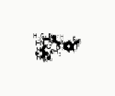 CC(NC(=O)c1ncnc2ncn(C)c12)c1ncc(C(=O)Nc2ccc(F)c(C(F)(F)F)c2)s1